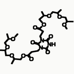 COC(C)COC(C)COC(C)COC(=O)CCn1c(=O)[nH]c(=O)n(CCC(=O)OCC(C)OCC(C)OCC(C)OC)c1=O